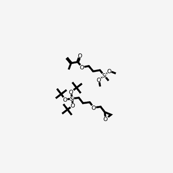 C=C(C)C(=O)OCCC[Si](C)(OC)OC.CC(C)(C)O[Si](CCCOCC1CO1)(OC(C)(C)C)OC(C)(C)C